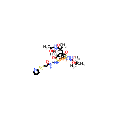 CCC(C)(CC(C)(CC(C)(C)C(=O)/S(NCNC(=O)CCSSc1ccccn1)=P\P)C(=O)S(=P)NNC(=O)OC(C)(C)C)C(=O)NCC(C)O